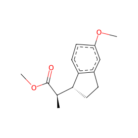 COC(=O)[C@H](C)[C@H]1CCc2cc(OC)ccc21